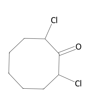 O=C1C(Cl)CCCCCC1Cl